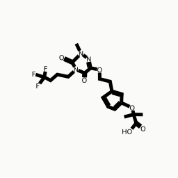 Cn1nc(OCCc2cccc(OC(C)(C)C(=O)O)c2)c(=O)n(CCCC(F)(F)F)c1=O